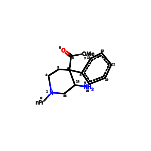 CCCN1CCC(C(=O)OC)(c2ccccc2)C(N)C1